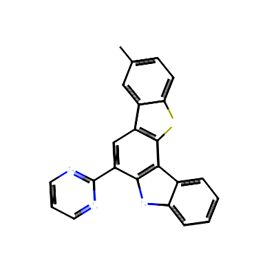 CC(C)(C)c1ccc2sc3c(cc(-c4ncccn4)c4[nH]c5ccccc5c43)c2c1